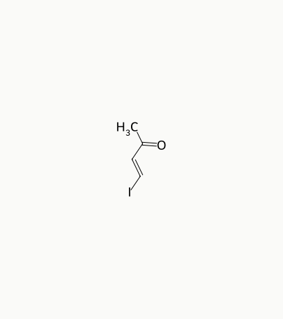 CC(=O)C=CI